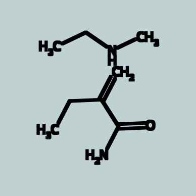 C=C(CC)C(N)=O.CCNC